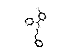 Clc1cccc(C(=NOCCc2ccccc2)c2cccnc2)c1